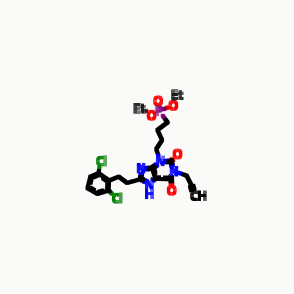 C#CCn1c(=O)c2[nH]c(CCc3c(Cl)cccc3Cl)nc2n(CCCCP(=O)(OCC)OCC)c1=O